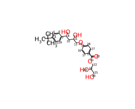 CC(C)(C)c1ccc(C(O)CC(O)COc2ccc(C(=O)OCC(O)CO)cc2)cc1